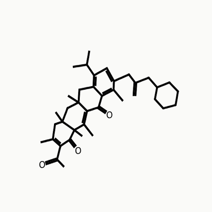 C=C(Cc1cc(C(C)C)c2c(c1C)C(=O)C1=C(C)C3(C)C(=O)C(C(C)=O)=C(C)CC3(C)CC1(C)C2)CC1CCCCC1